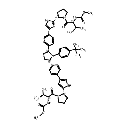 COC(=O)N[C@H](C(=O)N1CCC[C@H]1c1cc(-c2ccc([C@@H]3CC[C@@H](c4ccc(-c5c[nH]c([C@@H]6CCCN6C(=O)[C@@H](NC(=O)OC)C(C)C)n5)cc4)N3c3ccc(C(C)(C)C)cc3)cc2)n[nH]1)C(C)C